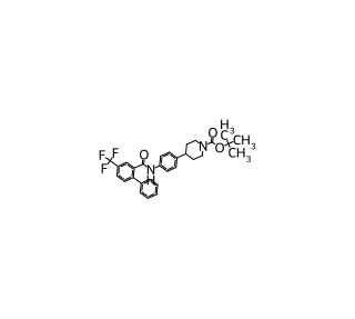 CC(C)(C)OC(=O)N1CCC(c2ccc(NC(=O)c3cc(C(F)(F)F)ccc3-c3ccccc3)cc2)CC1